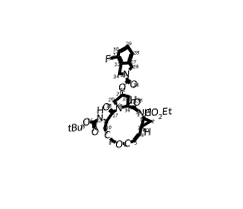 CCOC(=O)[C@@]12C[C@H]1/C=C\COCCC[C@H](NC(=O)OC(C)(C)C)C(=O)N1C[C@H](OC(=O)N3Cc4cccc(F)c4C3)C[C@H]1C(=O)N2